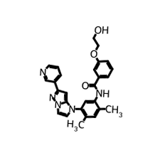 Cc1cc(C)c(-n2ccn3nc(-c4cccnc4)cc23)cc1NC(=O)c1cccc(OCCO)c1